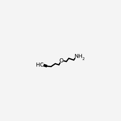 C#CCCCOCCCN